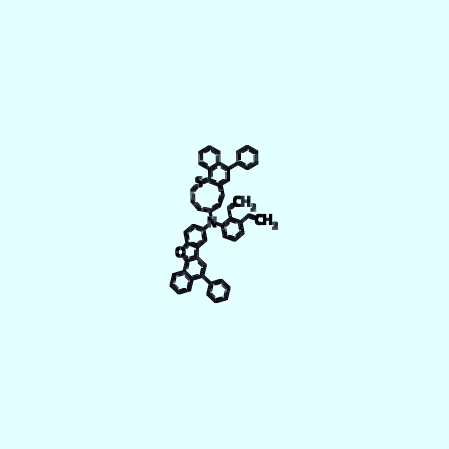 C=Cc1cccc(N(c2cccsc3c(cc2)cc(-c2ccccc2)c2ccccc23)c2ccc3oc4c5ccccc5c(-c5ccccc5)cc4c3c2)c1C=C